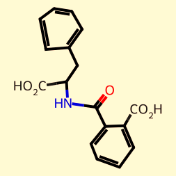 O=C(O)c1ccccc1C(=O)NC(Cc1ccccc1)C(=O)O